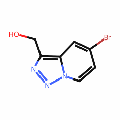 OCc1nnn2ccc(Br)cc12